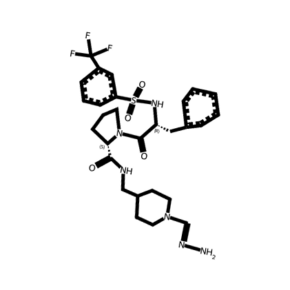 NN=CN1CCC(CNC(=O)[C@@H]2CCCN2C(=O)[C@@H](Cc2ccccc2)NS(=O)(=O)c2cccc(C(F)(F)F)c2)CC1